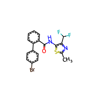 Cc1nc(C(F)F)c(NC(=O)c2ccccc2-c2ccc(Br)cc2)s1